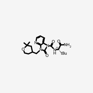 CC1(C)CC(Cn2c(=O)n(C(=O)N[C@H](C(N)=O)C(C)(C)C)c3cccnc32)CCO1